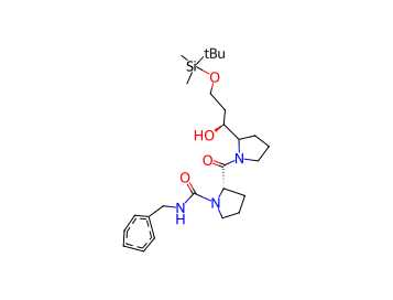 CC(C)(C)[Si](C)(C)OCC[C@H](O)C1CCCN1C(=O)[C@@H]1CCCN1C(=O)NCc1ccccc1